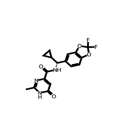 Cc1nc(C(=O)N[C@@H](c2ccc3c(c2)OC(F)(F)O3)C2CC2)cc(=O)[nH]1